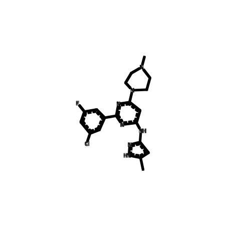 Cc1cc(Nc2cc(N3CCN(C)CC3)nc(-c3cc(F)cc(Cl)c3)n2)n[nH]1